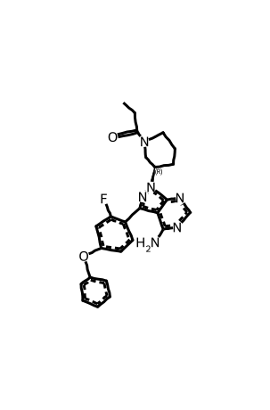 CCC(=O)N1CCC[C@@H](n2nc(-c3ccc(Oc4ccccc4)cc3F)c3c(N)ncnc32)C1